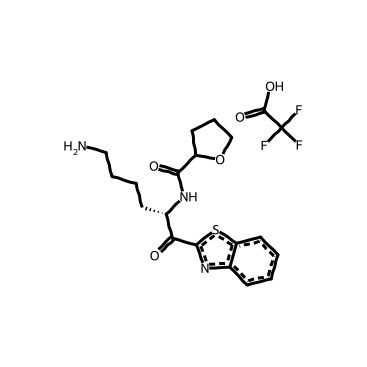 NCCCC[C@H](NC(=O)C1CCCO1)C(=O)c1nc2ccccc2s1.O=C(O)C(F)(F)F